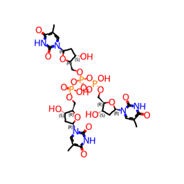 Cc1cn([C@H]2C[C@H](O)[C@@H](COP(=O)(O)OP(=O)(OC[C@H]3O[C@@H](n4cc(C)c(=O)[nH]c4=O)C[C@@H]3O)OP(=O)(O)OC[C@H]3O[C@@H](n4cc(C)c(=O)[nH]c4=O)C[C@@H]3O)O2)c(=O)[nH]c1=O